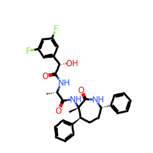 C[C@H](NC(=O)[C@@H](O)c1cc(F)cc(F)c1)C(=O)N[C@]1(C)C(=O)N[C@H](c2ccccc2)CC[C@H]1c1ccccc1